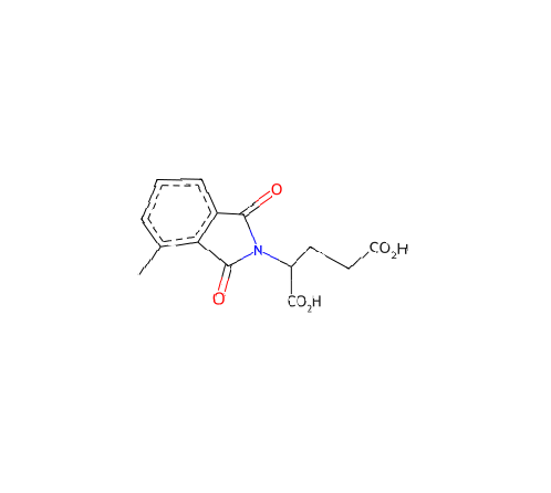 Cc1cccc2c1C(=O)N(C(CCC(=O)O)C(=O)O)C2=O